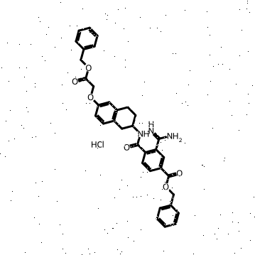 Cl.N=C(N)c1cc(C(=O)OCc2ccccc2)ccc1C(=O)NC1CCc2cc(OCC(=O)OCc3ccccc3)ccc2C1